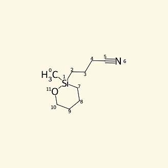 C[Si]1(CCCC#N)CCCCO1